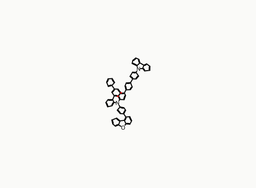 c1ccc(-c2cccc(-c3ccccc3N(c3ccc(-c4ccc(-c5ccc(-n6c7ccccc7c7ccccc76)cc5)cc4)cc3)c3ccc(-c4cccc5oc6ccccc6c45)cc3)c2)cc1